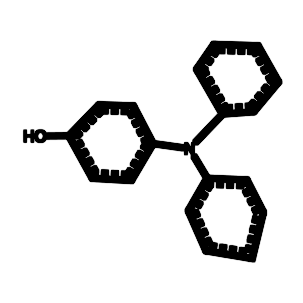 Oc1ccc(N(c2ccccc2)c2ccccc2)cc1